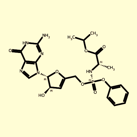 CC(C)OC(=O)[C@H](C)N[P@](=O)(OCC1=C[C@@H](O)[C@H](n2cnc3c(=O)[nH]c(N)nc32)O1)Oc1ccccc1